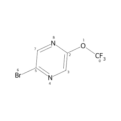 FC(F)(F)Oc1cnc(Br)cn1